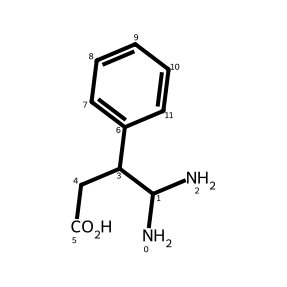 NC(N)C(CC(=O)O)c1ccccc1